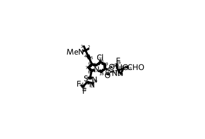 CNC(C)(C)C#Cc1cc(-c2nnc(C(F)F)s2)n2cc(S(=O)(=O)NC3(CF)CC3)cc(Cl)c12.O=CO